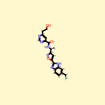 C[C@H](NC(=O)c1cc(CCO)ncn1)c1cc(-c2nc3ccc(CF)cc3[nH]2)on1